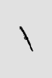 CCCCCCCCCCCCCCCCCCOC(=O)CCCCCCCCCCCCCCCC